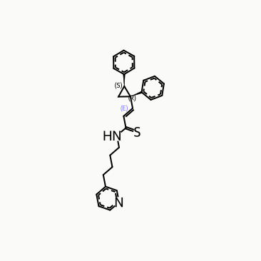 S=C(/C=C/[C@]1(c2ccccc2)C[C@H]1c1ccccc1)NCCCCc1cccnc1